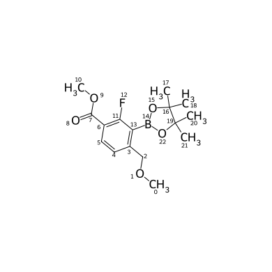 COCc1ccc(C(=O)OC)c(F)c1B1OC(C)(C)C(C)(C)O1